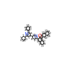 c1ccc(-c2cc(-c3ccc(-c4cc5ccccc5c5c4oc4cc6ccccc6cc45)nc3)cc(-c3ccccc3)n2)cc1